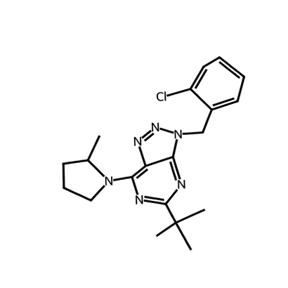 CC1CCCN1c1nc(C(C)(C)C)nc2c1nnn2Cc1ccccc1Cl